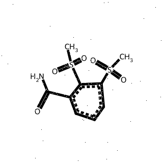 CS(=O)(=O)c1cccc(C(N)=O)c1S(C)(=O)=O